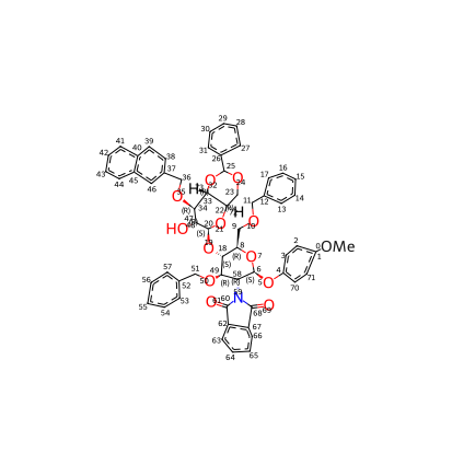 COc1ccc(O[C@@H]2O[C@H](COCc3ccccc3)[C@@H](O[C@@H]3O[C@@H]4COC(c5ccccc5)O[C@H]4[C@H](OCc4ccc5ccccc5c4)[C@H]3O)[C@H](OCc3ccccc3)[C@H]2N2C(=O)c3ccccc3C2=O)cc1